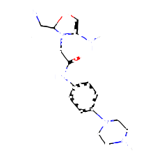 CC(=O)N1CCN(c2ccc(NC(=O)CN3C(NC=O)=COC3[C@H](C)N)cc2)CC1